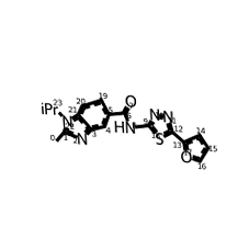 Cc1nc2cc(C(=O)Nc3nnc(-c4ccco4)s3)ccc2n1C(C)C